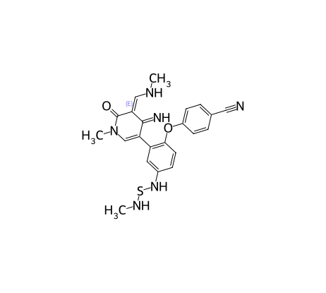 CN/C=C1\C(=N)C(c2cc(NSNC)ccc2Oc2ccc(C#N)cc2)=CN(C)C1=O